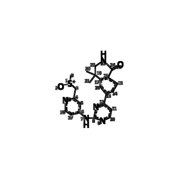 C[S+]([O-])Cc1cc(Nc2nccc(-c3ccc4c(c3)C(C)(C)CNC4=O)n2)ccn1